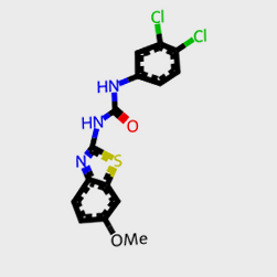 COc1ccc2nc(NC(=O)Nc3ccc(Cl)c(Cl)c3)sc2c1